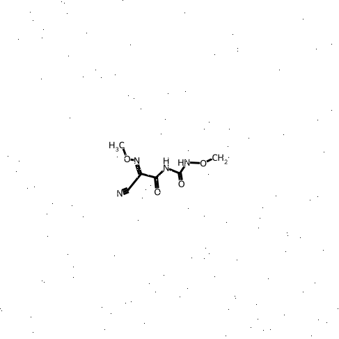 [CH2]ONC(=O)NC(=O)C(C#N)=NOC